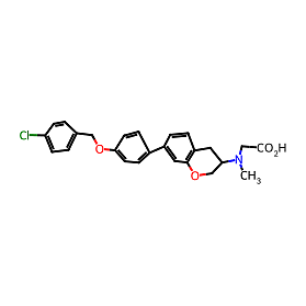 CN(CC(=O)O)C1COc2cc(-c3ccc(OCc4ccc(Cl)cc4)cc3)ccc2C1